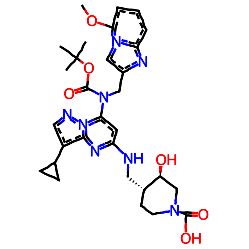 COc1cccc2nc(CN(C(=O)OC(C)(C)C)c3cc(NC[C@H]4CCN(C(=O)O)C[C@@H]4O)nc4c(C5CC5)cnn34)cn12